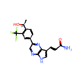 C[C@H](O)c1ccc(-c2cnc3[nH]cc(C=CC(N)=O)c3n2)cc1C(F)(F)F